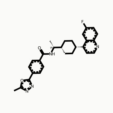 Cc1nnc(-c2ccc(C(=O)N[C@H](C)[C@H]3CC[C@@H](c4ccnc5ccc(F)cc54)CC3)cc2)o1